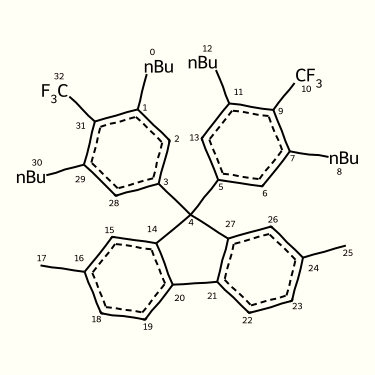 CCCCc1cc(C2(c3cc(CCCC)c(C(F)(F)F)c(CCCC)c3)c3cc(C)ccc3-c3ccc(C)cc32)cc(CCCC)c1C(F)(F)F